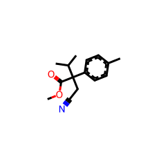 COC(=O)C(CC#N)(c1ccc(C)cc1)C(C)C